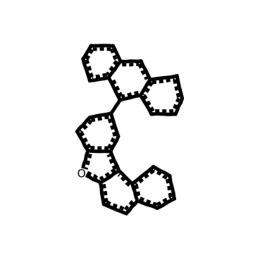 c1ccc2c(-c3ccc4oc5ccc6ccccc6c5c4c3)c3ccccc3cc2c1